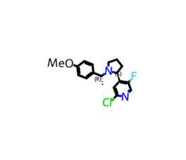 COc1ccc([C@@H](C)N2CCC[C@H]2c2cc(Cl)ncc2F)cc1